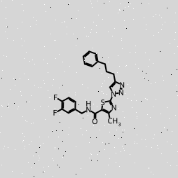 Cc1nc(-n2cc(CCCc3ccccc3)nn2)sc1C(=O)NCc1ccc(F)c(F)c1